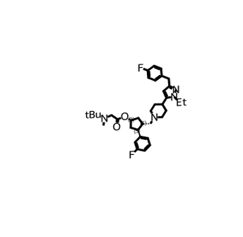 CCn1nc(Cc2ccc(F)cc2)cc1C1CCN(C[C@H]2C[C@H](OC(=O)CN(C)C(C)(C)C)C[C@@H]2c2cccc(F)c2)CC1